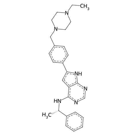 CCN1CCN(Cc2ccc(-c3cc4c(N[C@@H](C)c5ccccc5)ncnc4[nH]3)cc2)CC1